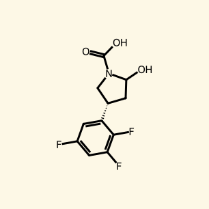 O=C(O)N1C[C@@H](c2cc(F)cc(F)c2F)CC1O